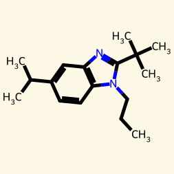 CCCn1c(C(C)(C)C)nc2cc(C(C)C)ccc21